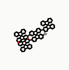 Brc1ccc2c(c1)C1(c3cc(-c4ccc5c(c4)C4(c6ccccc6-c6ccccc64)c4ccccc4-5)ccc3-2)c2cc(-c3ccc4c(c3)C3(c5ccccc5-c5ccccc53)c3ccccc3-4)ccc2-c2ccc(-c3ccc4c(c3)C3(c5ccccc5-c5ccccc53)c3ccccc3-4)cc21